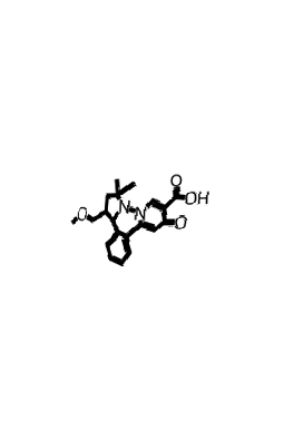 COCC1CC(C)(C)N2C1c1ccccc1-c1cc(=O)c(C(=O)O)cn12